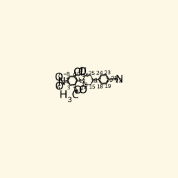 COc1cc([N+](=O)[O-])cc(Cl)c1C1C(=O)CC(c2ccc(C#N)cc2)CC1=O